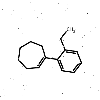 [CH2]Cc1ccccc1C1=CCCCCC1